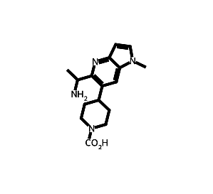 CC(N)c1nc2ccn(C)c2cc1C1CCN(C(=O)O)CC1